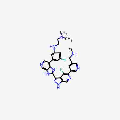 CCNCc1cncc(-c2ncc3[nH]nc(-c4nc5c(-c6cc(F)cc(NCCN(C)C)c6)cncc5[nH]4)c3c2F)c1